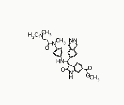 COC(=O)c1ccc2c(c1)NC(=O)/C2=C(\Nc1ccc(N(C)C(=O)CCN(C)C)cc1)c1ccc2cnncc2c1